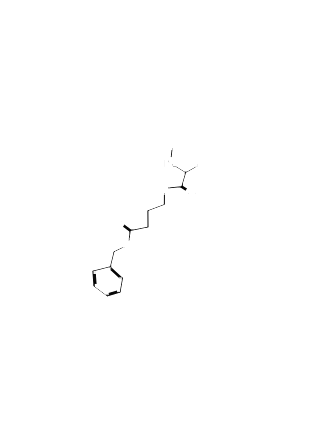 CNC(C)C(=O)OCCCC(=O)OCc1ccccc1